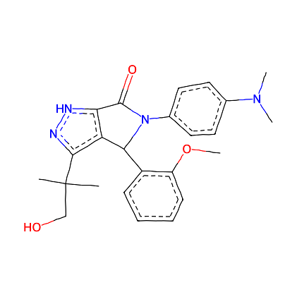 COc1ccccc1C1c2c(C(C)(C)CO)n[nH]c2C(=O)N1c1ccc(N(C)C)cc1